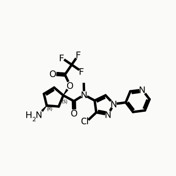 CN(C(=O)[C@@]1(OC(=O)C(F)(F)F)C=C[C@H](N)C1)c1cn(-c2cccnc2)nc1Cl